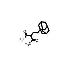 CC(=O)C(CCC12CC3CC(CC(C3)C1)C2)C(C)=O